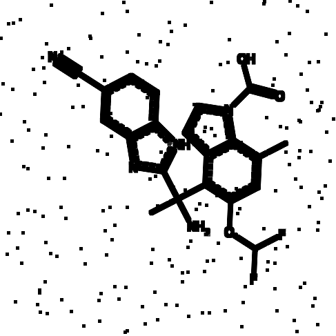 Cc1cc(OC(F)F)c(C(C)(N)c2nc3cc(C#N)ccc3[nH]2)c2ccn(C(=O)O)c12